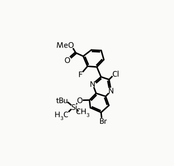 COC(=O)c1cccc(-c2nc3c(O[Si](C)(C)C(C)(C)C)cc(Br)cc3nc2Cl)c1F